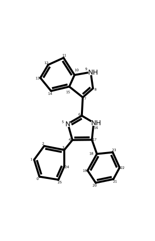 c1ccc(-c2nc(-c3c[nH]c4ccccc34)[nH]c2-c2ccccc2)cc1